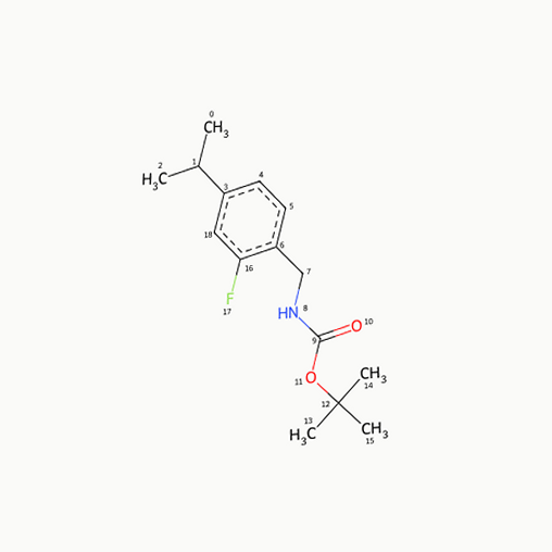 CC(C)c1ccc(CNC(=O)OC(C)(C)C)c(F)c1